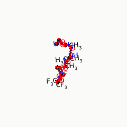 Cc1cc(C(=O)N(C)CCCN(C)C(=O)CO[C@H]2Cc3ccccc3C23CCN(CC[C@@]2(c4ccc(F)cc4)CN(C(=O)c4cc(C(F)(F)F)cc(C(F)(F)F)c4)CO2)CC3)ccc1NCCCCCC(=O)N(C)CCN1CCC(OC(=O)Nc2ccccc2-c2ccccc2)CC1